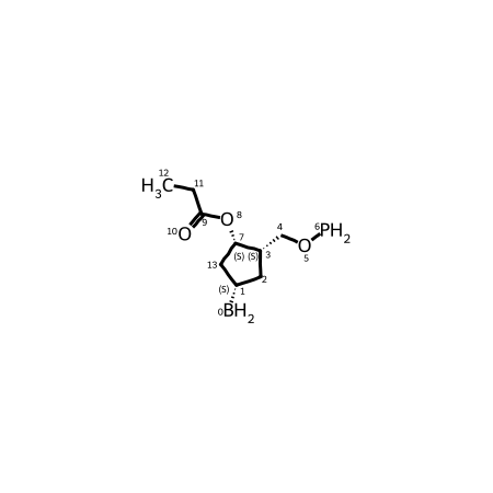 B[C@H]1C[C@@H](COP)[C@@H](OC(=O)CC)C1